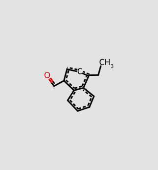 CCc1ccc([C]=O)c2ccccc12